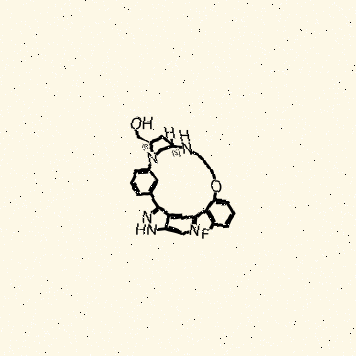 OC[C@H]1C[C@H]2CN1c1cccc(c1)-c1n[nH]c3cnc(cc13)-c1c(F)cccc1OCCN2